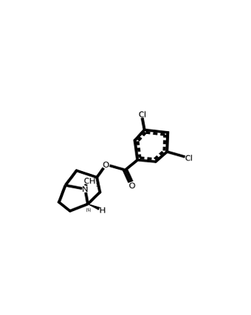 CN1C2CC[C@H]1CC(OC(=O)c1cc(Cl)cc(Cl)c1)C2